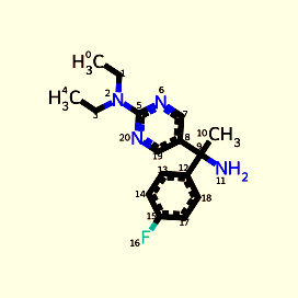 CCN(CC)c1ncc(C(C)(N)c2ccc(F)cc2)cn1